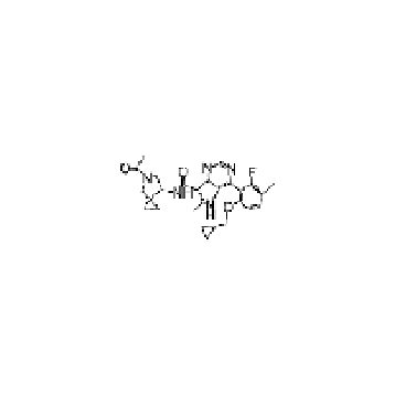 CC(=O)N1C[C@@H](NC(=O)c2c(C)[nH]c3c(-c4c(OCC5CC5)ccc(C)c4F)ncnc23)C2(CC2)C1